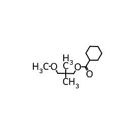 COCC(C)(C)COC(=O)C1CCCCC1